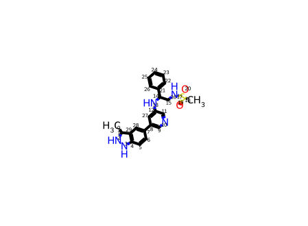 CC1NNc2ccc(-c3cncc(NC(CNS(C)(=O)=O)c4ccccc4)c3)cc21